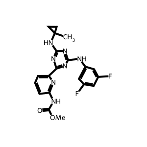 COC(=O)Nc1cccc(-c2nc(Nc3cc(F)cc(F)c3)nc(NC3(C)CC3)n2)n1